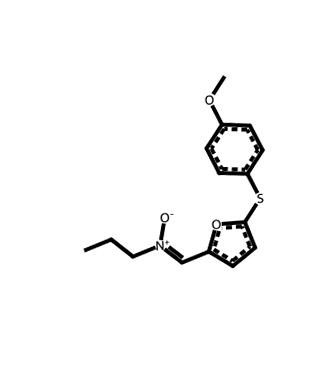 CCC[N+]([O-])=Cc1ccc(Sc2ccc(OC)cc2)o1